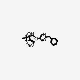 CC(C)(C)C(O)(COc1cnc(Cc2ccccc2)nc1)c1cncs1